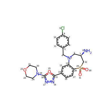 N[C@@H]1CN(Cc2ccc(Cl)cc2)c2cc(-c3nnc(N4CCOCC4)o3)ccc2S(=O)(=O)C1